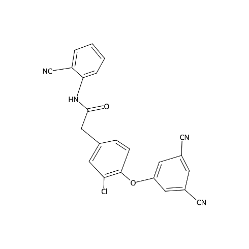 N#Cc1cc(C#N)cc(Oc2ccc(CC(=O)Nc3ccccc3C#N)cc2Cl)c1